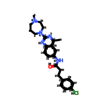 Cc1nc(N2CCCN(C)CC2)nc2ccc(NC(=O)CCc3ccc(Cl)cc3)cc12